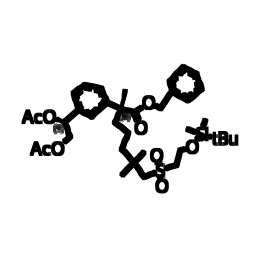 CC(=O)OC[C@@H](OC(C)=O)c1cccc([C@@](C)(CCCC(C)(C)CS(=O)(=O)CCO[Si](C)(C)C(C)(C)C)C(=O)OCc2ccccc2)c1